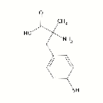 CC(N)(Cc1ccc(S)cc1)C(=O)O